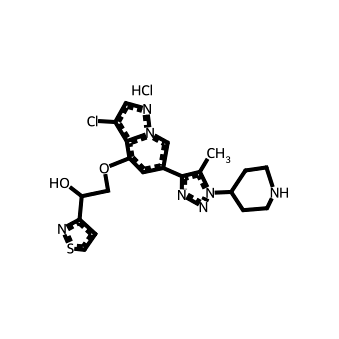 Cc1c(-c2cc(OCC(O)c3ccsn3)c3c(Cl)cnn3c2)nnn1C1CCNCC1.Cl